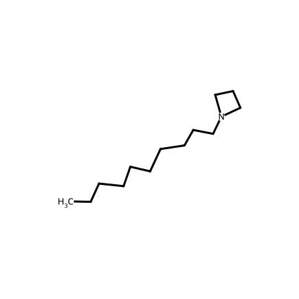 CCCCCCCCCCN1CCC1